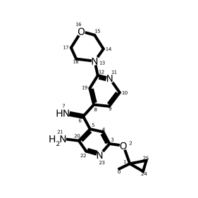 CC1(Oc2cc(C(=N)c3ccnc(N4CCOCC4)c3)c(N)cn2)CC1